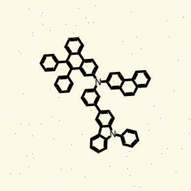 c1ccc(-c2c(-c3ccccc3)c3cc(N(c4cccc(-c5ccc6c(c5)c5ccccc5n6-c5ccccc5)c4)c4ccc5c(ccc6ccccc65)c4)ccc3c3ccccc23)cc1